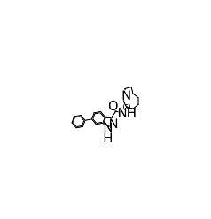 O=C(N[C@H]1CCCC2CCN2C1)c1n[nH]c2cc(-c3ccccc3)ccc12